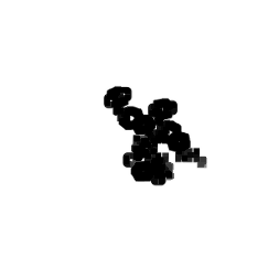 CN(C)S(=O)(=O)c1ccccc1Nc1nc(Nc2ccc3c(c2)CCN(CC2COCCO2)CC3)ncc1Cl.Nc1ccc2c(c1)CCN(CC1COCCO1)CC2